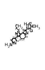 C=CCn1nc(-c2ccc(N)nc2)c2c1-c1sc(NC(=O)N(C)C)nc1CCC2